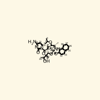 CC(C)OC(=O)[C@H](C)NP(=S)(OC[C@@](F)(O[C@H](CF)n1ccc(N)nc1=O)[C@H](C)O)Oc1ccc2ccccc2c1